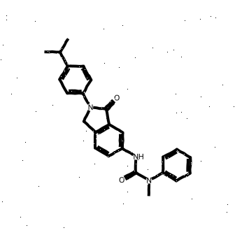 CC(C)c1ccc(N2Cc3ccc(NC(=O)N(C)c4ccccc4)cc3C2=O)cc1